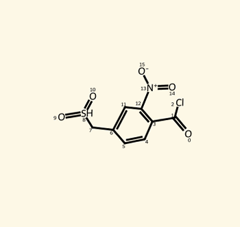 O=C(Cl)c1ccc(C[SH](=O)=O)cc1[N+](=O)[O-]